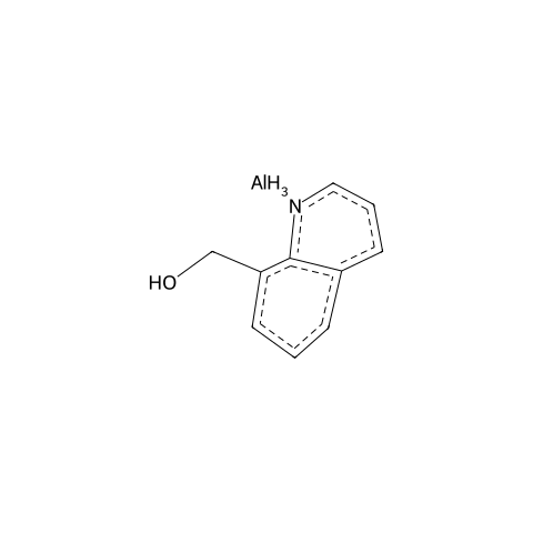 OCc1cccc2cccnc12.[AlH3]